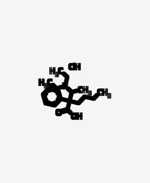 CCCCC(C(=O)O)(c1ccccc1)C(C)N(CC)CC.Cl